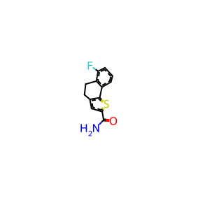 NC(=O)c1cc2c(s1)-c1cccc(F)c1CC2